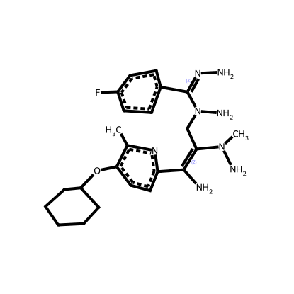 Cc1nc(/C(N)=C(\CN(N)/C(=N\N)c2ccc(F)cc2)N(C)N)ccc1OC1CCCCC1